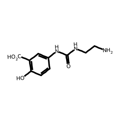 NCCNC(=O)Nc1ccc(O)c(C(=O)O)c1